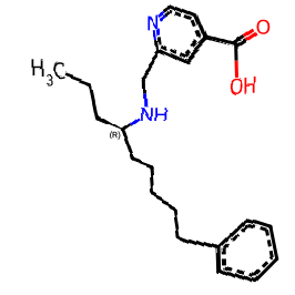 CCC[C@H](CCCCCc1ccccc1)NCc1cc(C(=O)O)ccn1